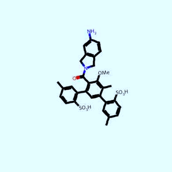 COc1c(C)c(-c2cc(C)ccc2S(=O)(=O)O)cc(-c2cc(C)ccc2S(=O)(=O)O)c1C(=O)N1Cc2ccc(N)cc2C1